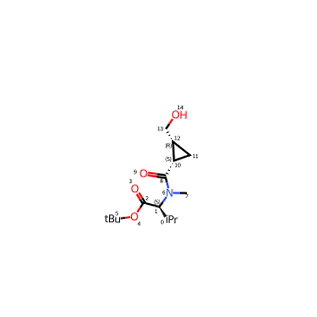 CC(C)[C@@H](C(=O)OC(C)(C)C)N(C)C(=O)[C@H]1C[C@H]1CO